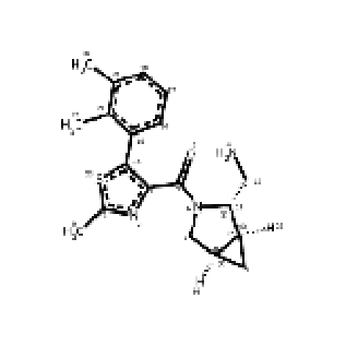 Cc1nc(C(=O)N2C[C@@H]3C[C@@H]3[C@H]2CN)c(-c2cccc(C)c2C)s1